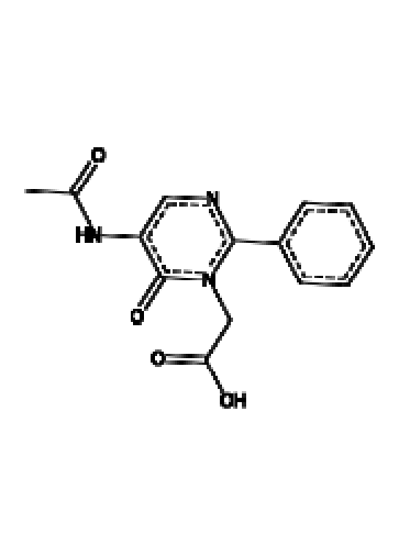 CC(=O)Nc1cnc(-c2ccccc2)n(CC(=O)O)c1=O